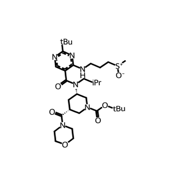 CC(C)CN(C(=O)c1cnc(C(C)(C)C)nc1NCCC[S+](C)[O-])[C@H]1C[C@@H](C(=O)N2CCOCC2)CN(C(=O)OC(C)(C)C)C1